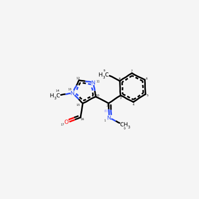 C/N=C(\c1ccccc1C)c1ncn(C)c1C=O